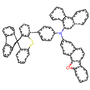 c1ccc2c(c1)Sc1c(-c3ccc(N(c4ccc5c(ccc6c7ccccc7oc56)c4)c4cc5ccccc5c5ccccc45)cc3)cccc1C21c2ccccc2-c2ccccc21